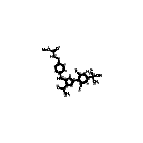 COC(=O)NCc1ccc(Nc2sc(-c3c(F)cc(C(C)(C)O)cc3F)cc2C(N)=O)cc1